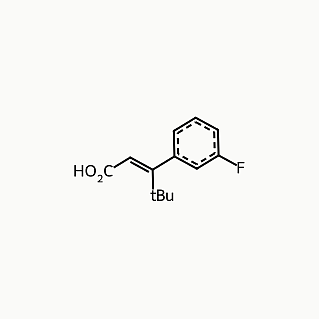 CC(C)(C)/C(=C\C(=O)O)c1cccc(F)c1